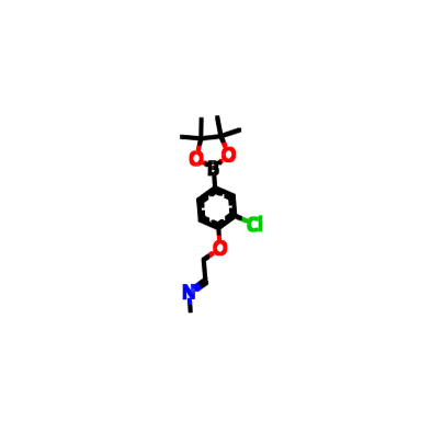 C/N=C/COc1ccc(B2OC(C)(C)C(C)(C)O2)cc1Cl